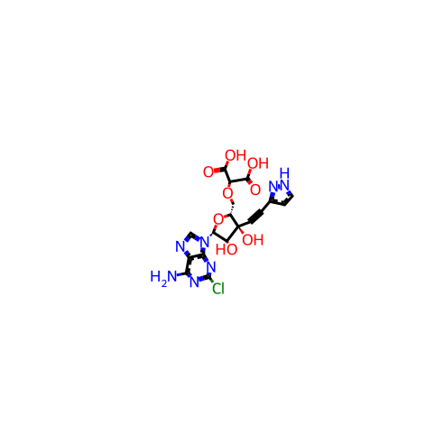 Nc1nc(Cl)nc2c1ncn2[C@@H]1O[C@H](COC(C(=O)O)C(=O)O)[C@](O)(C#Cc2cc[nH]n2)[C@H]1O